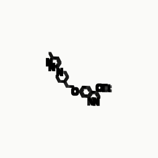 CCOc1cnnc2cc(OCCC3CCN(c4ccc(C)nn4)CC3)ccc12